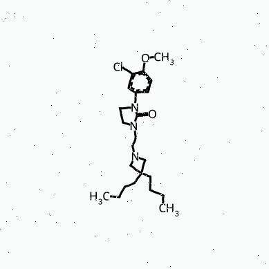 CCCCC1(CCCC)CN(CCN2CCN(c3ccc(OC)c(Cl)c3)C2=O)C1